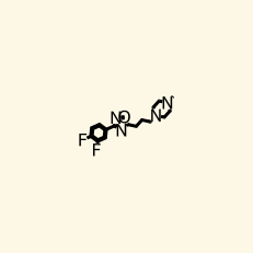 CN1CCN(CCCc2nc(-c3ccc(F)c(F)c3)no2)CC1